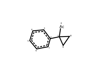 [CH2]C(=O)C1(c2ccccc2)CC1